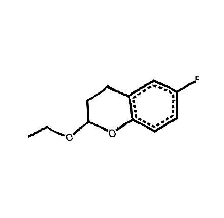 CCOC1CCc2cc(F)ccc2O1